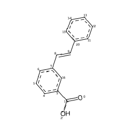 O=C(O)c1cccc(C=Cc2ccccc2)c1